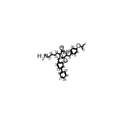 CC(C)Oc1ccc(CC2NC(=O)C(CCCCN)N(Cc3ccc(-c4ccccc4)cc3)C2=O)cc1